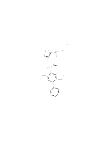 CCOC(=O)C(O)(CNC(=S)Nc1c2c(c(-c3ccccc3)c3c1CCC3)CCC2)c1ccon1